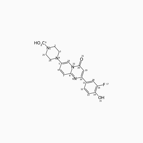 O=C(O)N1CCN(c2ccc3nc(-c4ccc(O)c(F)c4)cc(=O)n3c2)CC1